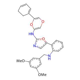 COc1cc(CNc2ccccc2-c2cnc(NC3=COC=C(C4=CC=CCC4)O3)o2)cc(OC)c1